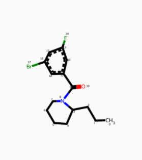 CCCC1CCCCN1C(=O)c1cc(F)cc(Br)c1